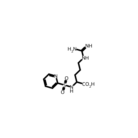 N=C(N)NCCCC(NS(=O)(=O)c1ccccn1)C(=O)O